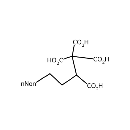 CCCCCCCCCCCC(C(=O)O)C(C(=O)O)(C(=O)O)C(=O)O